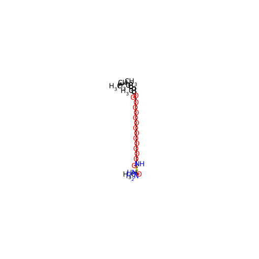 CNC(CSCC(=O)NCCOCCOCCOCCOCCOCCOCCOCCOCCOCCOCCOCCOCCC(=O)OC1CC[C@@]2(C)C(=CCC3C2CC[C@@]2(C)C3CC[C@@H]2[C@H](C)CCCC(C)C)C1)C(N)=O